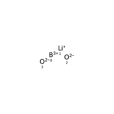 [B+3].[Li+].[O-2].[O-2]